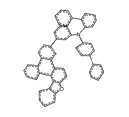 c1ccc(-c2ccc(N(c3cccc(-c4ccc5c6ccccc6c6c(ccc7oc8ccccc8c76)c5c4)c3)c3ccccc3-c3ccccc3)cc2)cc1